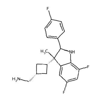 CC1([C@H]2C[C@@H](CN)C2)c2cc(F)cc(F)c2NC1c1ccc(F)cc1